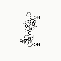 CC(=O)O[C@@H](C(=O)OC1=CC[C@]2(O)[C@@H]3Cc4ccc(O)c5c4[C@]2(CCN3C)[C@@H]1O5)[C@@H](OC(C)=O)C(=O)O[C@H](C(=O)O)c1ccccc1